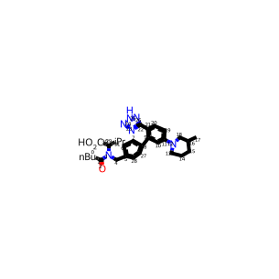 CCCCC(=O)N(Cc1ccc(-c2cc(N3CCCC(C)C3)ccc2-c2nn[nH]n2)cc1)C(C(=O)O)C(C)C